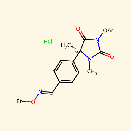 CCON=Cc1ccc([C@@]2(C)C(=O)N(OC(C)=O)C(=O)N2C)cc1.Cl